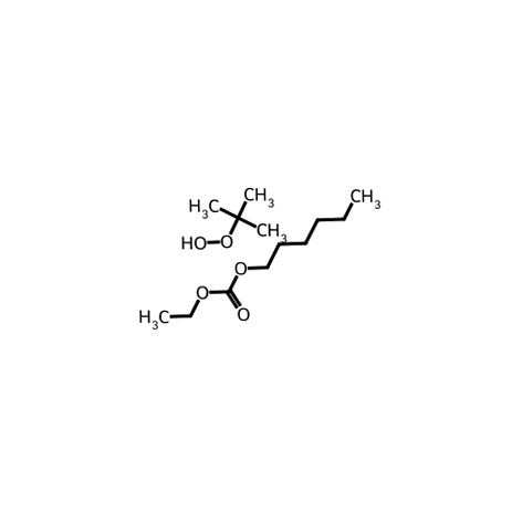 CC(C)(C)OO.CCCCCCOC(=O)OCC